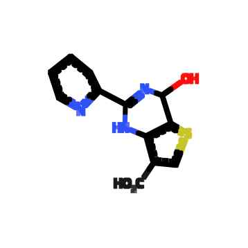 O=C(O)c1csc2c1NC(c1ccccn1)=NC2O